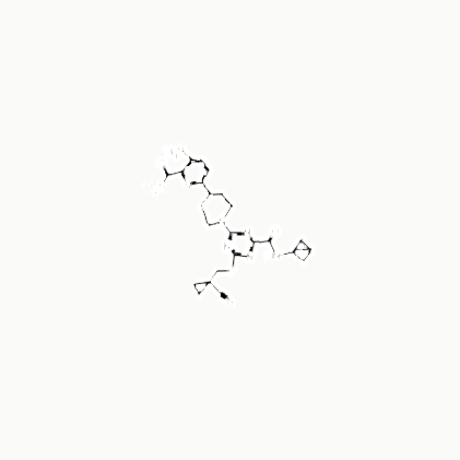 N#CC1(COc2nc(C(=O)NC34CC(C3)C4)nc(N3CCC(c4ccc(N)c(C(N)=O)n4)CC3)n2)CC1